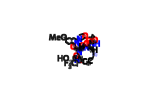 COc1ccc2c(O[C@@H]3C[C@H]4C(=O)N[C@]5(C(=O)NS(=O)(=O)C6(C)CC6)C[C@H]5/C=C\CC[C@@H](C)C[C@@H](C)[C@H](N(C(=O)O)C(C)(C)C(F)(F)F)C(=O)N4C3)nc(N3CCOCC3)cc2c1